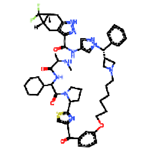 CNC(C)C(=O)NC(C(=O)N1CCCC1c1nc(C(=O)c2cccc(OCCCCCCN3CC([C@@H](c4ccccc4)n4cc(NC(=O)c5n[nH]c6c5C[C@@H]5C(F)(F)[C@]5(C)C6)cn4)C3)c2)cs1)C1CCCCC1